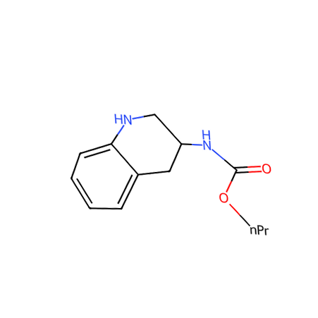 CCCOC(=O)NC1CNc2ccccc2C1